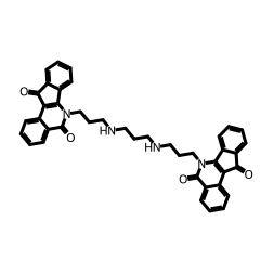 O=C1c2ccccc2-c2c1c1ccccc1c(=O)n2CCCNCCCNCCCn1c2c(c3ccccc3c1=O)C(=O)c1ccccc1-2